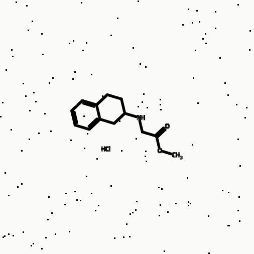 COC(=O)CNC1CCc2ccccc2C1.Cl